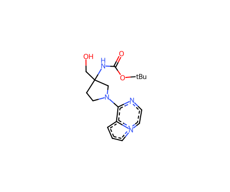 CC(C)(C)OC(=O)NC1(CO)CCN(c2nccn3cccc23)C1